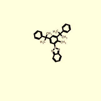 Cc1c(-n2nc3ccccc3n2)cc(C(C)(C)c2ccccc2)cc1C(C)(C)c1ccccc1